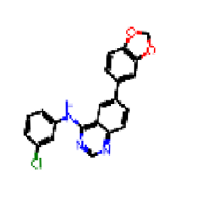 Clc1cccc(Nc2ncnc3ccc(-c4ccc5c(c4)OCO5)cc23)c1